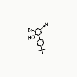 CC(C)(C)c1ccc(-c2cc(C#N)cc(Br)c2O)cc1